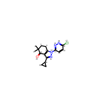 CC1(C)CCc2c(c(C3CC3)nn2-c2ccc(Cl)nn2)C1=O